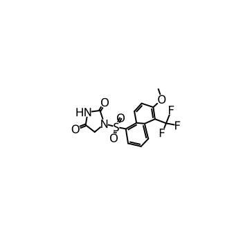 COc1ccc2c(S(=O)(=O)N3CC(=O)NC3=O)cccc2c1C(F)(F)F